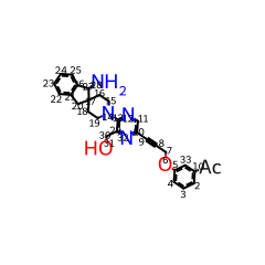 CC(=O)c1cccc(OCC#Cc2cnc(N3CCC4(CC3)Cc3ccccc3C4N)c(CO)n2)c1